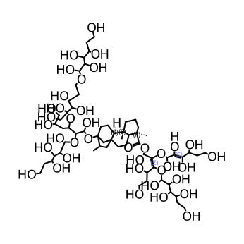 CC1CC23CCC4[C@](C)(C(=O)OC(O)/C(OC(O)/C(O)=C(\O)C(O)CCO)=C(/OC(O)C(O)C(O)C(O)CCO)C(O)CCO)CCC[C@@]4(C)[C@@H]2CCC1(OC(O)C(OC(O)C(O)C(O)C(O)CCO)C(CC(O)CO)OC(O)(CO)C(O)C(O)CCOC(O)C(O)C(O)C(O)CCO)C3